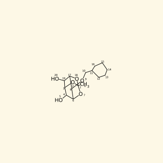 CC12OC3C(O)C(O1)C(OCC1CCCCC1)C(O2)C3O